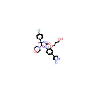 O=C(Nc1ccc(-c2cn[nH]c2)cc1OCCCO)NC(I)(C(=O)N1CCOCC1)c1ccc(Cl)cc1